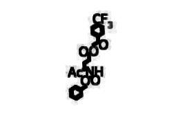 CC(=O)C(CCC(=O)OCC(=O)c1ccc(C(F)(F)F)cc1)NC(=O)OCc1ccccc1